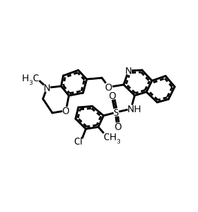 Cc1c(Cl)cccc1S(=O)(=O)Nc1c(OCc2ccc3c(c2)OCCN3C)ncc2ccccc12